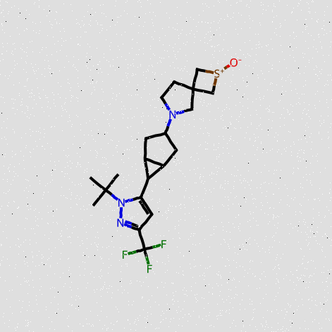 CC(C)(C)n1nc(C(F)(F)F)cc1C1C2CC(N3CCC4(C3)C[S+]([O-])C4)CC21